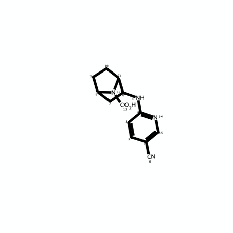 N#Cc1ccc(NC2CC3CCC2N3C(=O)O)nc1